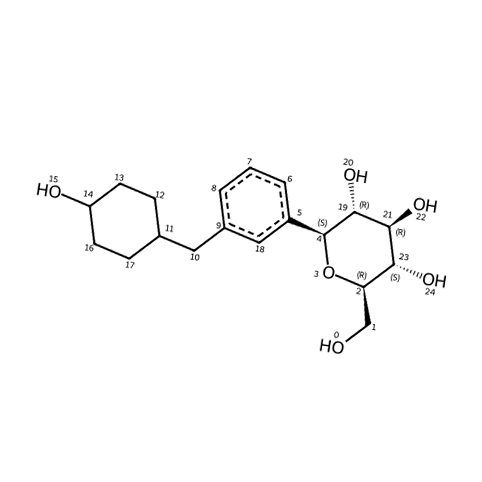 OC[C@H]1O[C@@H](c2cccc(CC3CCC(O)CC3)c2)[C@H](O)[C@@H](O)[C@@H]1O